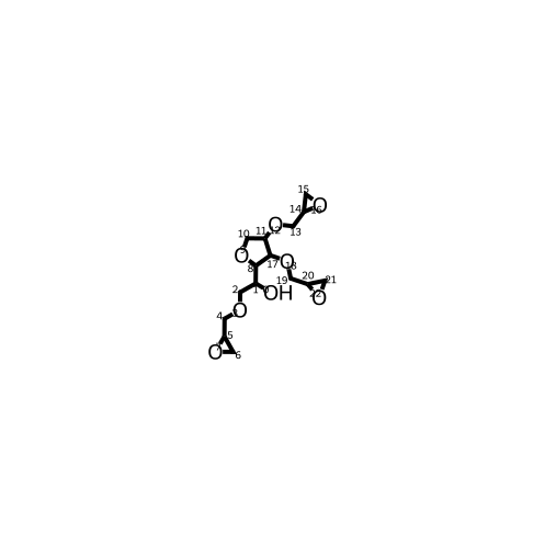 OC(COCC1CO1)C1OCC(OCC2CO2)C1OCC1CO1